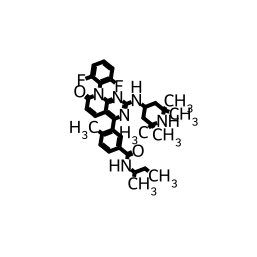 CCC(C)NC(=O)c1ccc(C)c(-c2nc(NC3CC(C)(C)NC(C)(C)C3)nc3c2ccc(=O)n3-c2c(F)cccc2F)c1